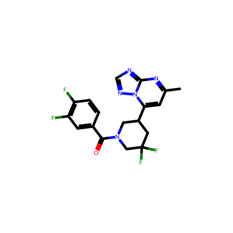 Cc1cc(C2CN(C(=O)c3ccc(F)c(F)c3)CC(F)(F)C2)n2ncnc2n1